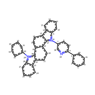 c1ccc(-c2ccc(-n3c4ccccc4c4ccc5c(ccc6c7ccccc7n(-c7ccccc7)c65)c43)cn2)cc1